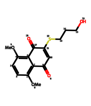 COc1ccc(OC)c2c1C(=O)C=C(SCCCO)C2=O